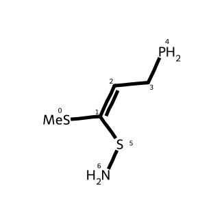 CS/C(=C/CP)SN